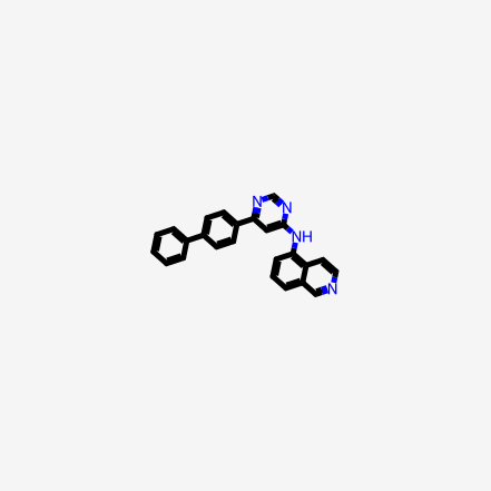 c1ccc(-c2ccc(-c3cc(Nc4cccc5cnccc45)ncn3)cc2)cc1